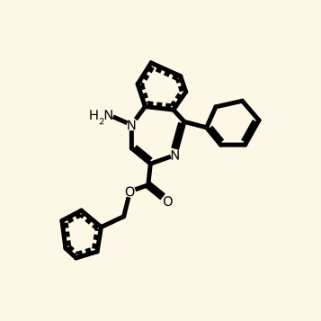 NN1C=C(C(=O)OCc2ccccc2)N=C(C2=CC=CCC2)c2ccccc21